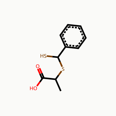 CC(SC(S)c1ccccc1)C(=O)O